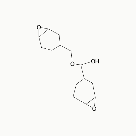 OC(OCC1CCC2OC2C1)C1CCC2OC2C1